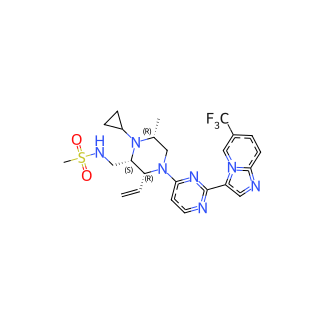 C=C[C@@H]1[C@H](CNS(C)(=O)=O)N(C2CC2)[C@H](C)CN1c1ccnc(-c2cnc3ccc(C(F)(F)F)cn23)n1